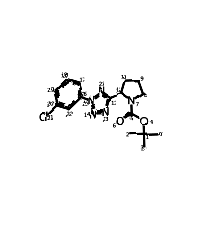 CC(C)(C)OC(=O)N1CCC[C@@H]1c1nnn(-c2cccc(Cl)c2)n1